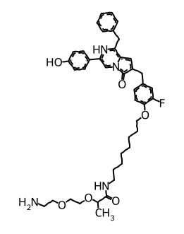 CC(OCCOCCN)C(=O)NCCCCCCCCOc1ccc(Cc2cc3c(Cc4ccccc4)[nH]c(-c4ccc(O)cc4)cn-3c2=O)cc1F